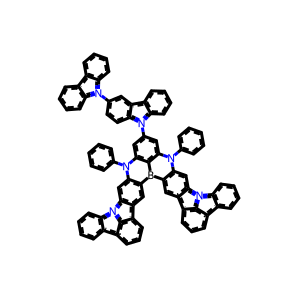 c1ccc(N2c3cc4c(cc3B3c5cc6c7cccc8c9ccccc9n(c6cc5N(c5ccccc5)c5cc(-n6c9ccccc9c9cc(-n%10c%11ccccc%11c%11ccccc%11%10)ccc96)cc2c53)c87)c2cccc3c5ccccc5n4c32)cc1